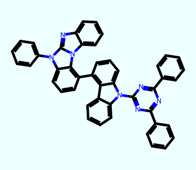 c1ccc(-c2nc(-c3ccccc3)nc(-n3c4ccccc4c4c(-c5cccc6c5n5c7ccccc7nc5n6-c5ccccc5)cccc43)n2)cc1